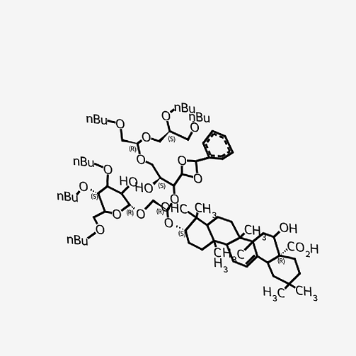 CCCCOCC1O[C@@H](OC[C@@H](OC(C2OC(c3ccccc3)O2)[C@@H](O)CO[C@@H](COCCCC)OC[C@H](COCCCC)OCCCC)O[C@H]2CCC3(C)C(CCC4(C)C3CC=C3C5CC(C)(C)CC[C@]5(C(=O)O)C(O)CC34C)C2(C)C=O)C(O)C(OCCCC)[C@H]1OCCCC